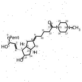 CCCCC[C@H](O)C=C[C@@H]1[C@H]2CC(=CCCCC(=O)N3CCN(C)CC3)C[C@H]2C[C@H]1O